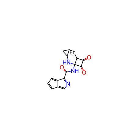 CCC1C(=O)C(=O)C1(NC(=O)C1=NC=C2C=CC=C21)NC1CC1